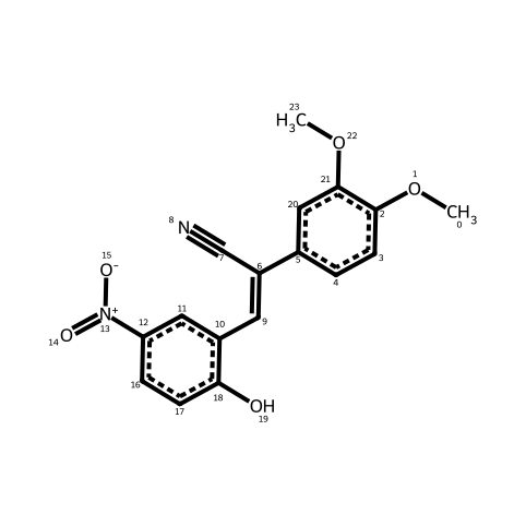 COc1ccc(/C(C#N)=C/c2cc([N+](=O)[O-])ccc2O)cc1OC